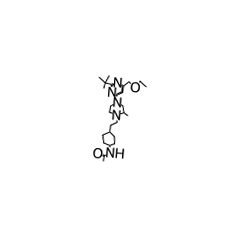 CCOCc1cc(N2CCN(CCC3CCC(NC(C)=O)CC3)C(C)C2)nc(C(C)(C)C)n1